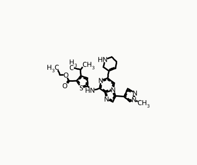 CCOC(=O)c1sc(Nc2nc(C3=CCCNC3)cn3c(-c4cnn(C)c4)cnc23)cc1C(C)C